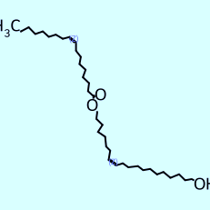 CCCCCCCC/C=C\CCCCCCCC(=O)OCCCCCCC/C=C\CCCCCCCCCCCO